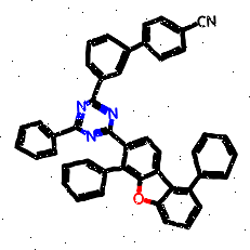 N#Cc1ccc(-c2cccc(-c3nc(-c4ccccc4)nc(-c4ccc5c(oc6cccc(-c7ccccc7)c65)c4-c4ccccc4)n3)c2)cc1